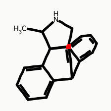 CC1NCC2=CC3c4ccccc4C21c1ccccc13